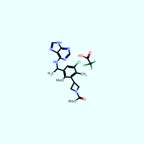 COC(=O)N1CC(c2c(C)c(Cl)cc(C(C)Nc3ncnc4[nH]cnc34)c2OC)C1.O=C(O)C(F)(F)F